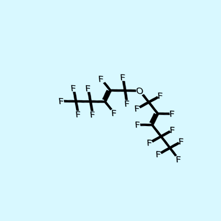 FC(=C(F)C(F)(F)C(F)(F)F)C(F)(F)OC(F)(F)C(F)=C(F)C(F)(F)C(F)(F)F